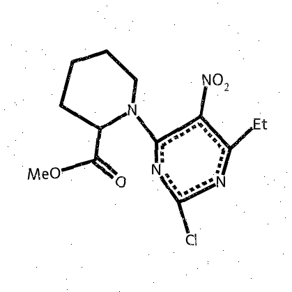 CCc1nc(Cl)nc(N2CCCCC2C(=O)OC)c1[N+](=O)[O-]